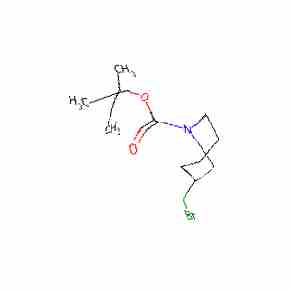 CC(C)(C)OC(=O)N1CCC12CC(Br)C2